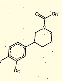 Nc1ccc(C2CCCN(C(=O)O)C2)cc1O